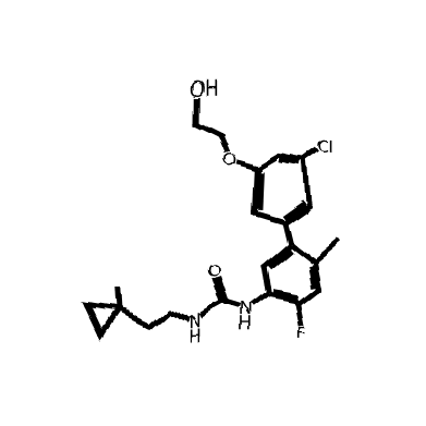 Cc1cc(F)c(NC(=O)NCCC2(C)CC2)cc1-c1cc(Cl)cc(OCCO)c1